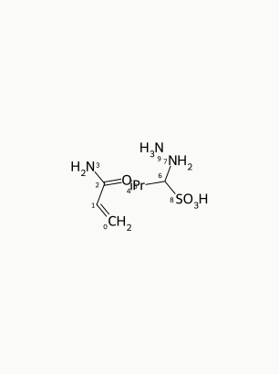 C=CC(N)=O.CC(C)C(N)S(=O)(=O)O.N